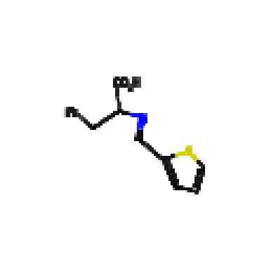 CC(C)CC(N=Cc1cccs1)C(=O)O